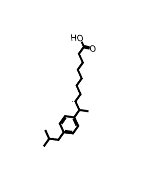 CC(C)Cc1ccc(C(C)[CH]CCCCCCC(=O)O)cc1